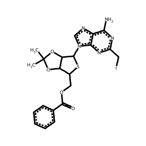 CC1(C)OC2C(COC(=O)c3ccccc3)SC(n3cnc4c(N)nc(CI)nc43)C2O1